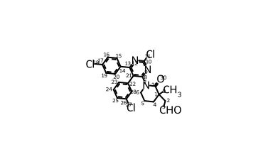 CC1(CC=O)CCCN(c2nc(Cl)nc(-c3ccc(Cl)cc3)c2-c2cccc(Cl)c2)C1=O